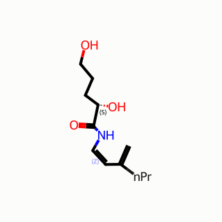 C=C(/C=C\NC(=O)[C@@H](O)CCCO)CCC